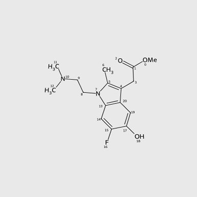 COC(=O)Cc1c(C)n(CCN(C)C)c2cc(F)c(O)cc12